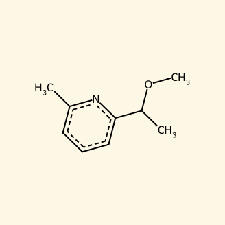 COC(C)c1cccc(C)n1